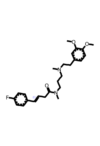 COc1ccc(CCN(C)CCCN(C)C(=O)C/C=C/c2ccc(F)cc2)cc1OC